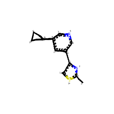 Cc1nc(-c2cncc(C3CC3)c2)cs1